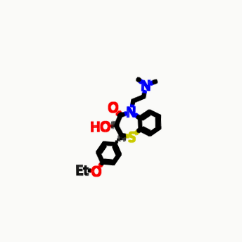 CCOc1ccc([C@H]2Sc3ccccc3N(CCN(C)C)C(=O)[C@H]2O)cc1